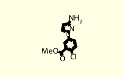 COC(=O)c1cc(-n2ccc(N)n2)ccc1Cl